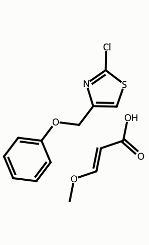 COC=CC(=O)O.Clc1nc(COc2ccccc2)cs1